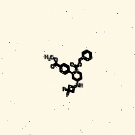 COC(=O)c1ccc([C@@H]2C[C@@H](NC3CC(F)(F)C3)CCN2C(=O)OCc2ccccc2)cc1